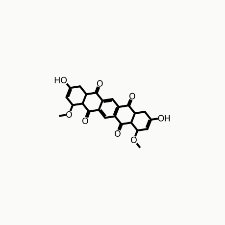 COC1C=C(O)CC2C(=O)c3cc4c(cc3C(=O)C12)C(=O)C1C(OC)C=C(O)CC1C4=O